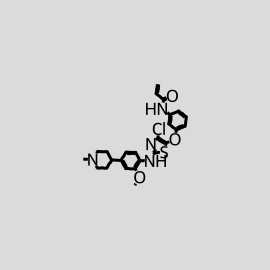 C=CC(=O)Nc1cccc(Oc2sc(Nc3ccc(C4CCN(C)CC4)cc3OC)nc2Cl)c1